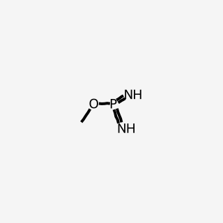 COP(=N)=N